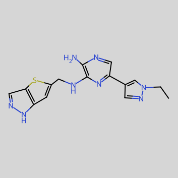 CCn1cc(-c2cnc(N)c(NCc3cc4[nH]ncc4s3)n2)cn1